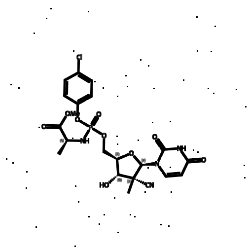 COC(=O)[C@H](C)NP(=O)(OC[C@H]1O[C@@H](n2ccc(=O)[nH]c2=O)[C@](C)(C#N)[C@@H]1O)Oc1ccc(Cl)cc1